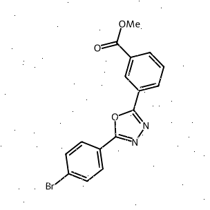 COC(=O)c1cccc(-c2nnc(-c3ccc(Br)cc3)o2)c1